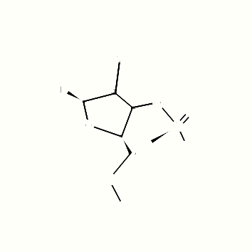 B[C@@H]1O[C@H](COC)C(O[P@](C)(=O)S)C1O